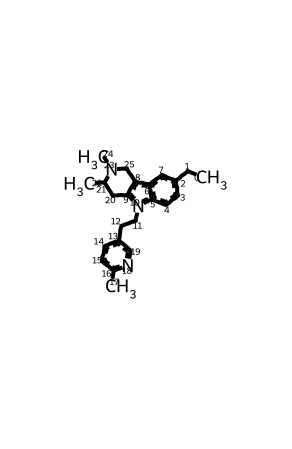 CCc1ccc2c(c1)c1c(n2CCc2ccc(C)nc2)CC(C)N(C)C1